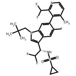 Cc1ccnc(C(F)F)c1-c1cc2c(cc1F)c([C@H](NS(=O)(=O)C1CC1)C(F)F)cn2CC(C)(C)C